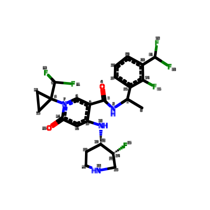 CC(NC(=O)c1cn(C2(C(F)F)CC2)c(=O)cc1N[C@H]1CCNC[C@H]1F)c1cccc(C(F)F)c1F